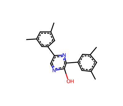 Cc1cc(C)cc(-c2cnc(O)c(-c3cc(C)cc(C)c3)n2)c1